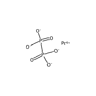 O=P([O-])([O-])P(=O)([O-])[O-].[Pr+4]